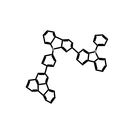 c1ccc(-n2c3ccccc3c3ccc(-c4ccc5c6ccccc6n(-c6ccc(-c7cc8c9c(cccc9c7)-c7ccccc7-8)cc6)c5c4)cc32)cc1